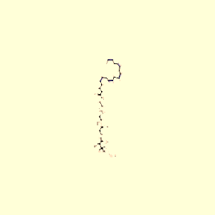 CC/C=C\C/C=C\C/C=C\C/C=C\C/C=C\CCCC(=O)NCCSSCCNC(=O)CCNC(=O)[C@H](OI)C(C)(C)COC(C)(C)C